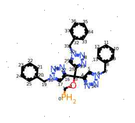 PCOC(c1cn(Cc2ccccc2)nn1)(c1cn(Cc2ccccc2)nn1)c1cn(Cc2ccccc2)nn1